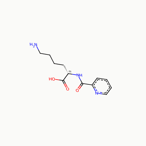 NCCCC[C@H](NC(=O)c1ccccn1)C(=O)O